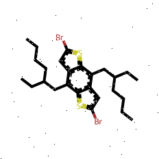 CCCCC(CC)Cc1c2cc(Br)sc2c(CC(CC)CCCC)c2cc(Br)sc12